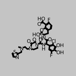 CN(CCN1CCN(C(=O)N[C@@H](C(=O)N[C@H]2Cc3ccc(F)c(C(=O)O)c3OB2O)c2cc(F)c(O)c(O)c2Cl)C(=O)C1=O)Cc1nccs1